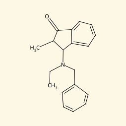 CCN(Cc1ccccc1)C1c2ccccc2C(=O)C1C